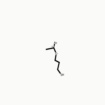 CC(=O)[C@H](C)OCCCS